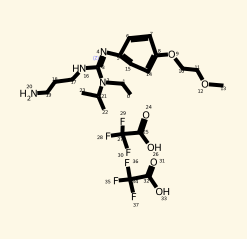 CCN(/C(=N\c1ccc(OCCOC)cc1)NCCCN)C(C)C.O=C(O)C(F)(F)F.O=C(O)C(F)(F)F